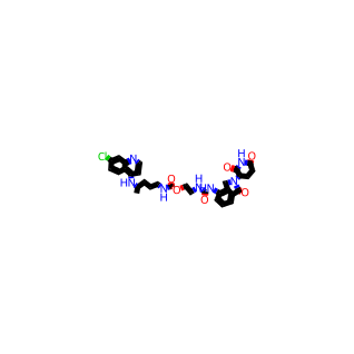 CC(CCCNC(=O)OCCNC(=O)Nc1cccc2c1CN(C1CCC(=O)NC1=O)C2=O)Nc1ccnc2cc(Cl)ccc12